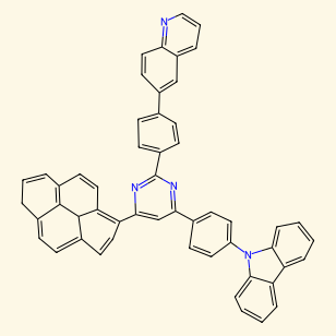 C1=CC2=C3C(=CC=C4C=CC(c5cc(-c6ccc(-n7c8ccccc8c8ccccc87)cc6)nc(-c6ccc(-c7ccc8ncccc8c7)cc6)n5)=C(C=C2)C43)C1